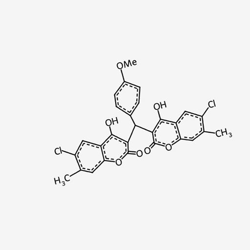 COc1ccc(C(c2c(O)c3cc(Cl)c(C)cc3oc2=O)c2c(O)c3cc(Cl)c(C)cc3oc2=O)cc1